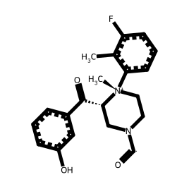 Cc1c(F)cccc1[N@+]1(C)CCN([C]=O)C[C@@H]1C(=O)c1cccc(O)c1